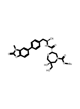 Cn1c(=O)oc2ccc(-c3ccc(C[C@@H](C#N)NC(=O)[C@@H]4CN(C(=O)OC(C)(C)C)C[C@](O)(CO)CO4)cc3)cc21